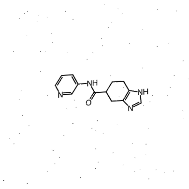 O=C(Nc1cccnc1)C1CCc2[nH]cnc2C1